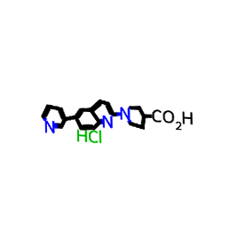 Cl.O=C(O)C1CCN(c2ccc3cc(-c4cccnc4)ccc3n2)CC1